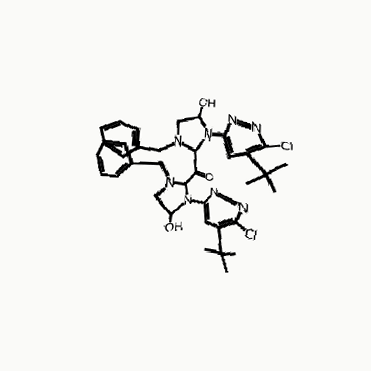 CC(C)(C)c1cc(N2C(O)CN(Cc3ccccc3)C2C(=O)C2N(Cc3ccccc3)CC(O)N2c2cc(C(C)(C)C)c(Cl)nn2)nnc1Cl